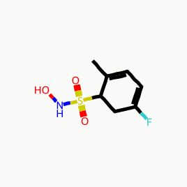 CC1=CC=C(F)CC1S(=O)(=O)NO